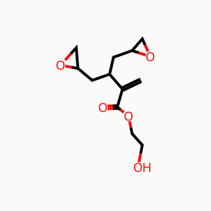 C=C(C(=O)OCCO)C(CC1CO1)CC1CO1